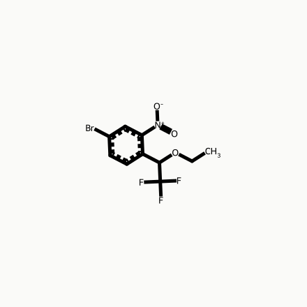 CCOC(c1ccc(Br)cc1[N+](=O)[O-])C(F)(F)F